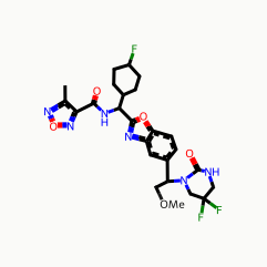 COCC(c1ccc2oc(C(NC(=O)c3nonc3C)C3CCC(F)CC3)nc2c1)N1CC(F)(F)CNC1=O